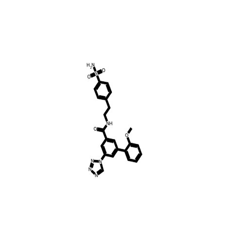 COc1ccccc1-c1cc(C(=O)NCCc2ccc(S(N)(=O)=O)cc2)cc(-n2cnnn2)c1